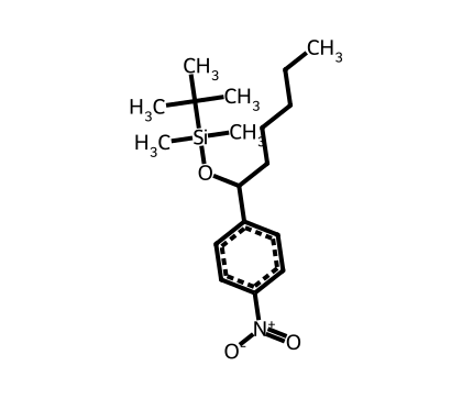 CCCCCC(O[Si](C)(C)C(C)(C)C)c1ccc([N+](=O)[O-])cc1